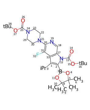 CC(C)c1c(B2OC(C)(C)C(C)(C)O2)n(C(=O)OC(C)(C)C)c2cnc(N3CCN(C(=O)OC(C)(C)C)CC3)c(F)c12